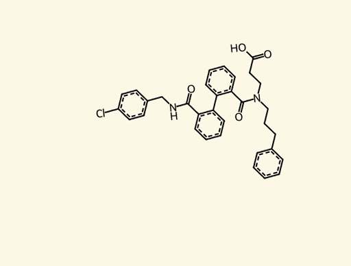 O=C(O)CCN(CCCc1ccccc1)C(=O)c1ccccc1-c1ccccc1C(=O)NCc1ccc(Cl)cc1